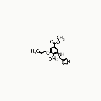 C=CCOc1cc(C(=O)OC)cc(NCc2cncs2)c1[N+](=O)[O-]